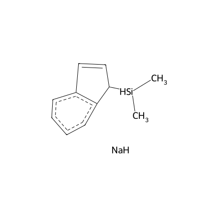 C[SiH](C)C1C=Cc2ccccc21.[NaH]